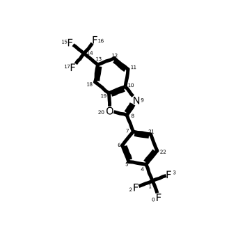 FC(F)(F)c1ccc(-c2nc3ccc(C(F)(F)F)cc3o2)cc1